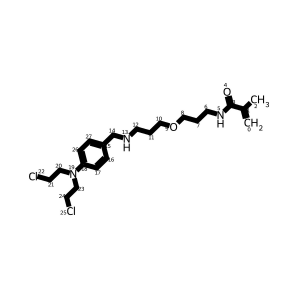 C=C(C)C(=O)NCCCOCCCNCc1ccc(N(CCCl)CCCl)cc1